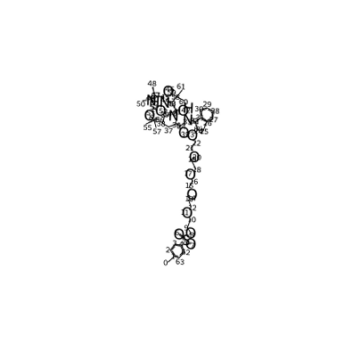 Cc1ccc(S(=O)(=O)OCCOCCOCCOCCOCCO[C@@H]2Cc3ccccc3[C@@H]2NC(=O)C2CCCN2C(=O)[C@@H](NC(=O)[C@H](C)N(C)C(=O)OC(C)(C)C)C(C)(C)C)cc1